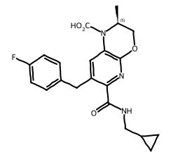 C[C@H]1COc2nc(C(=O)NCC3CC3)c(Cc3ccc(F)cc3)cc2N1C(=O)O